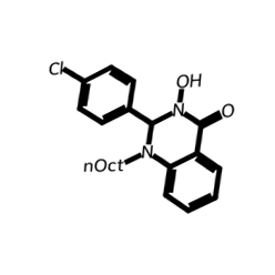 CCCCCCCCN1c2ccccc2C(=O)N(O)C1c1ccc(Cl)cc1